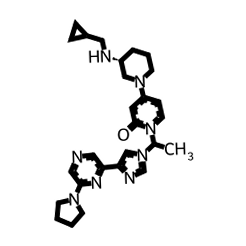 CC(n1cnc(-c2cncc(N3CCCC3)n2)c1)n1ccc(N2CCC[C@@H](NCC3CC3)C2)cc1=O